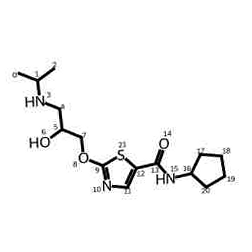 CC(C)NCC(O)COc1ncc(C(=O)NC2CCCC2)s1